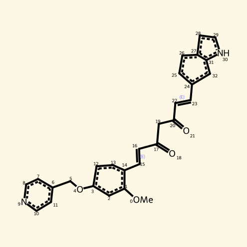 COc1cc(OCc2ccncc2)ccc1/C=C/C(=O)CC(=O)/C=C/c1ccc2cc[nH]c2c1